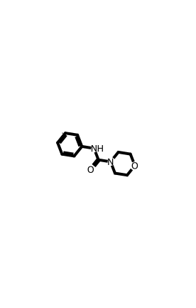 O=C(Nc1c[c]ccc1)N1CCOCC1